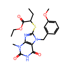 CCOC(=O)C(CC)Sc1nc2c(c(=O)[nH]c(=O)n2C)n1Cc1cccc(OC)c1